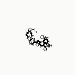 CN1CCCN(c2cncc(-c3ccc(/C=C4/C(=O)Nc5ccc(Cl)cc54)o3)n2)CC1